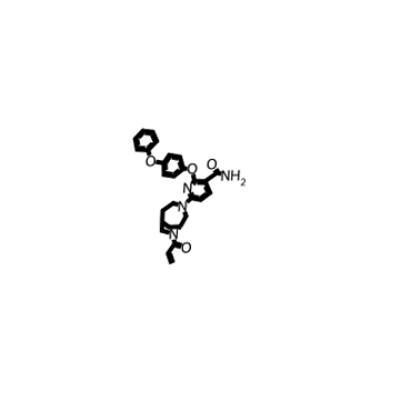 C=CC(=O)N1CC2CCN(c3ccc(C(N)=O)c(Oc4ccc(Oc5ccccc5)cc4)n3)CC1C2